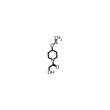 C=NOC1CCN(C(=O)CO)CC1